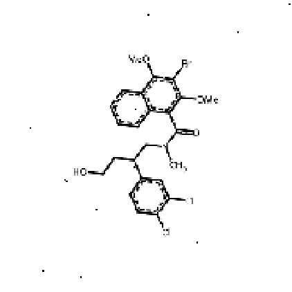 COc1c(Br)c(OC)c2ccccc2c1C(=O)N(C)CC(CCO)c1ccc(Cl)c(Cl)c1